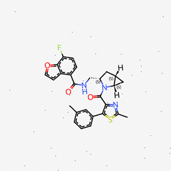 Cc1cccc(-c2sc(C)nc2C(=O)N2[C@H](CNC(=O)c3ccc(F)c4occc34)C[C@@H]3C[C@@H]32)c1